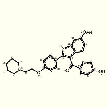 COc1ccc2c(C(=O)c3ccc(O)cc3)c(-c3ccc(OCCN4CCCCC4)cc3)sc2c1